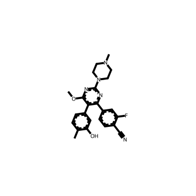 COc1nc(N2CCN(C)CC2)nc(-c2ccc(C#N)c(F)c2)c1-c1ccc(C)c(O)c1